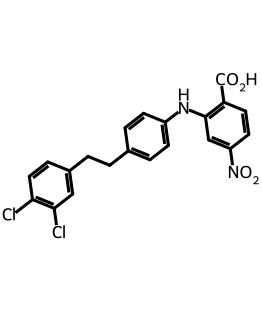 O=C(O)c1ccc([N+](=O)[O-])cc1Nc1ccc(CCc2ccc(Cl)c(Cl)c2)cc1